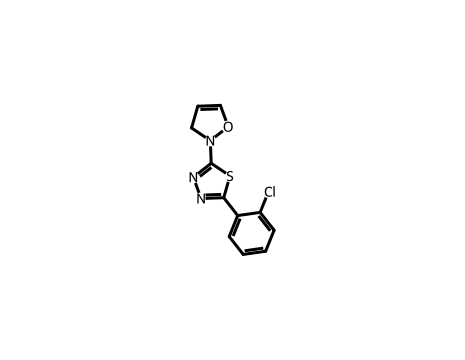 Clc1ccccc1-c1nnc(N2CC=CO2)s1